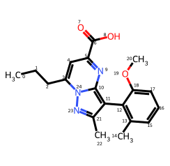 CCCc1cc(C(=O)O)nc2c(-c3c(C)cccc3OC)c(C)nn12